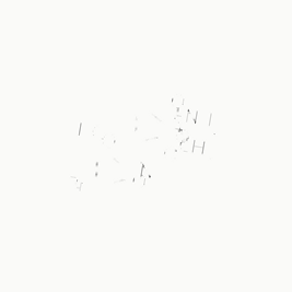 COc1c(-c2noc3cc(Br)cc(OC)c23)cccc1S(N)(=O)=O